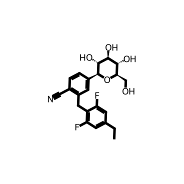 CCc1cc(F)c(Cc2cc([C@@H]3O[C@H](CO)[C@@H](O)[C@H](O)[C@H]3O)ccc2C#N)c(F)c1